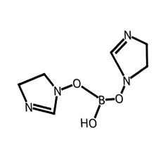 OB(ON1C=NCC1)ON1C=NCC1